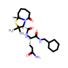 CC1(C)S[C@@H]2CCCCC(=O)N2[C@@H]1C(=O)N[C@@H](CCC(N)=O)C(=O)NCC1CCCCC1